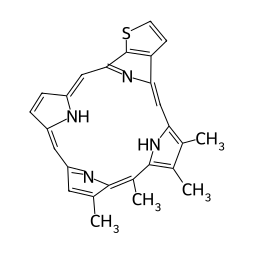 CC1=Cc2cc3ccc(cc4nc(cc5[nH]c(c(C)c1n2)c(C)c5C)-c1ccsc1-4)[nH]3